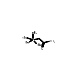 CCCCP(CCCC)(CCCC)(CCCC)CC(N)=O